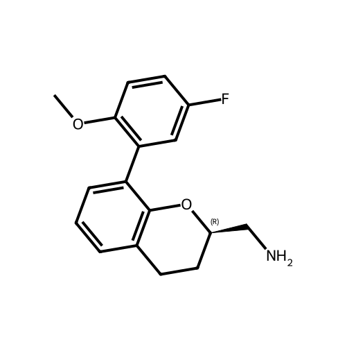 COc1ccc(F)cc1-c1cccc2c1O[C@@H](CN)CC2